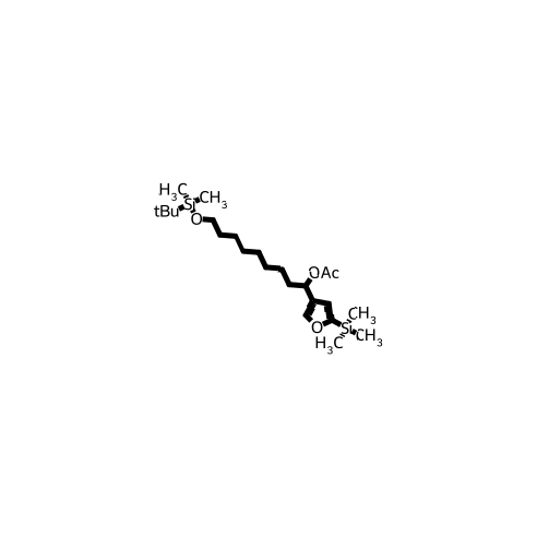 CC(=O)OC(CCCCCCCCO[Si](C)(C)C(C)(C)C)c1coc([Si](C)(C)C)c1